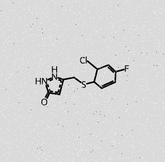 O=c1cc(CSC2C=CC(F)=CC2Cl)[nH][nH]1